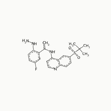 C=C(Nc1ccnc2ccc(S(=O)(=O)C(C)(C)C)cc12)c1cc(F)ccc1NN